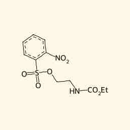 CCOC(=O)NCCOS(=O)(=O)c1ccccc1[N+](=O)[O-]